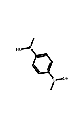 CB(O)c1ccc(B(C)O)cc1